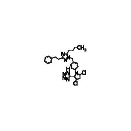 CCCCc1nc(CCc2ccccc2)nn1Cc1ccc(-n2c(Cl)cc(Cl)c2-c2nnn[nH]2)cc1